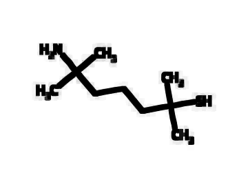 CC(C)(N)CCCC(C)(C)S